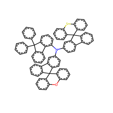 c1ccc(C2(c3ccccc3)c3ccccc3-c3c(N(c4ccc5c(c4)-c4ccccc4C54c5ccccc5Oc5ccccc54)c4ccc5c(c4)C4(c6ccccc6Sc6ccccc64)c4ccccc4-5)cccc32)cc1